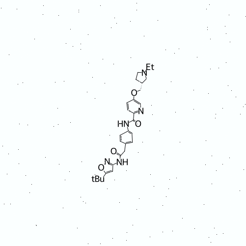 CCN1CC[C@@H](COc2ccc(C(=O)Nc3ccc(CC(=O)Nc4cc(C(C)(C)C)on4)cc3)nc2)C1